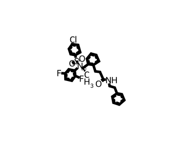 C[C@H](c1ccccc1CCC(=O)NCCc1ccccc1)N(c1cc(F)ccc1F)S(=O)(=O)c1ccc(Cl)cc1